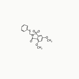 COc1cc(OC)c2c(c1)S(=O)(=O)N(CSc1ccccc1)C2=O